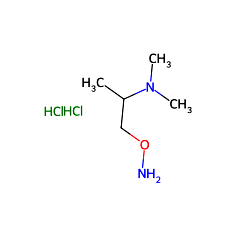 CC(CON)N(C)C.Cl.Cl